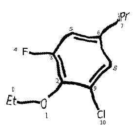 CCOc1c(F)cc(C(C)C)cc1Cl